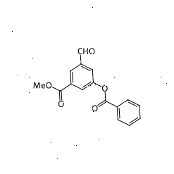 COC(=O)c1cc(C=O)cc(OC(=O)c2ccccc2)c1